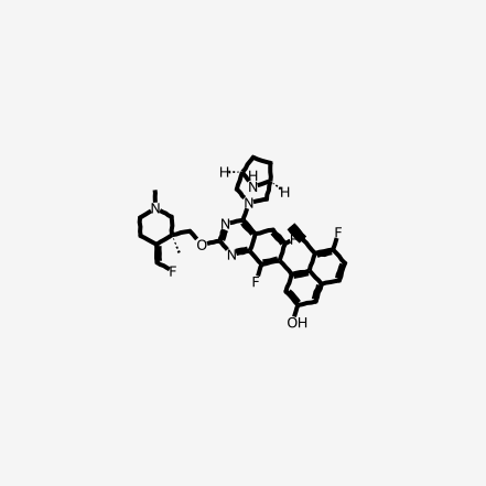 C#Cc1c(F)ccc2cc(O)cc(-c3c(F)cc4c(N5C[C@H]6CC[C@@H](C5)N6)nc(OC[C@]5(C)CN(C)CC/C5=C/F)nc4c3F)c12